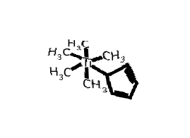 [CH3][Ti]([CH3])([CH3])([CH3])([CH3])[CH]1C=CC=C1